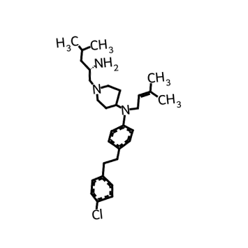 CC(C)=CCN(c1ccc(CCc2ccc(Cl)cc2)cc1)C1CCN(C[C@@H](N)CC(C)C)CC1